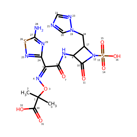 CC(C)(O/N=C(\C(=O)NC1C(=O)N(S(=O)(=O)O)C1Cn1cncn1)c1nsc(N)n1)C(=O)O